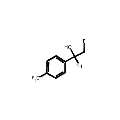 [2H]C(O)(CF)c1ccc(C(F)(F)F)cc1